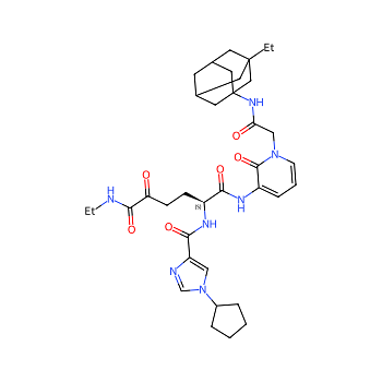 CCNC(=O)C(=O)CC[C@H](NC(=O)c1cn(C2CCCC2)cn1)C(=O)Nc1cccn(CC(=O)NC23CC4CC(CC(CC)(C4)C2)C3)c1=O